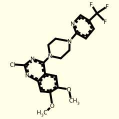 COc1cc2nc(Cl)nc(N3CCN(c4ccc(C(F)(F)F)cn4)CC3)c2cc1OC